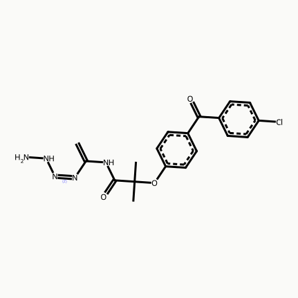 C=C(/N=N\NN)NC(=O)C(C)(C)Oc1ccc(C(=O)c2ccc(Cl)cc2)cc1